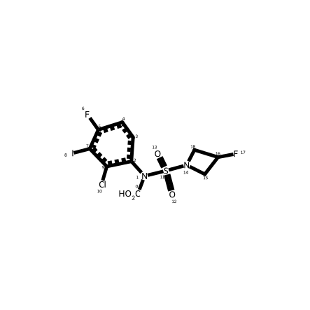 O=C(O)N(c1ccc(F)c(I)c1Cl)S(=O)(=O)N1CC(F)C1